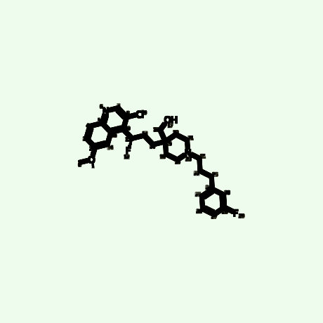 COc1ccc2ncc(Cl)c([C@@H](F)CCC3(CO)CCN(CCCc4cccc(F)c4)CC3)c2c1